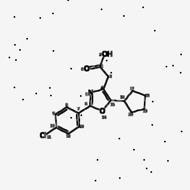 O=C(O)Cc1nc(-c2ccc(Cl)cc2)oc1C1CCCC1